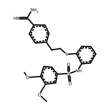 COc1ccc(S(=O)(=O)Nc2ccccc2SCCc2ccc(C(=N)N)cc2)cc1OC